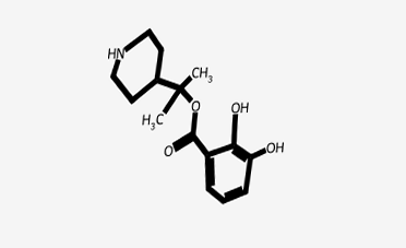 CC(C)(OC(=O)c1cccc(O)c1O)C1CCNCC1